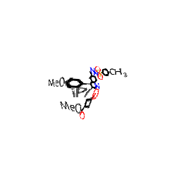 COC(=O)C1CC(Oc2nc3cc4c(cnn4S(=O)(=O)c4ccc(C)cc4)cc3c(-c3ccc(OC)cc3)c2C(C)C)C1